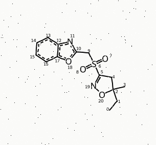 CCC1(C)CC(S(=O)(=O)Cc2nc3ccccc3o2)=NO1